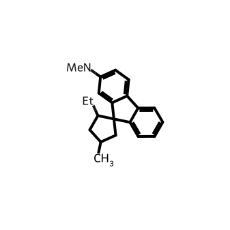 CCC1CC(C)CC12c1ccccc1-c1ccc(NC)cc12